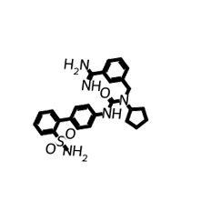 N=C(N)c1cccc(CN(C(=O)Nc2ccc(-c3ccccc3S(N)(=O)=O)cc2)C2CCCC2)c1